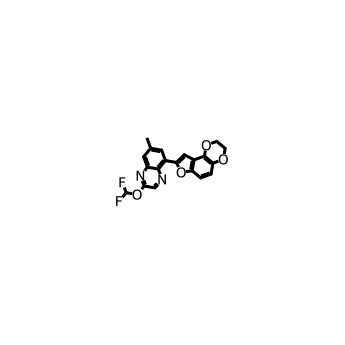 Cc1cc(-c2cc3c4c(ccc3o2)OCCO4)c2ncc(OC(F)F)nc2c1